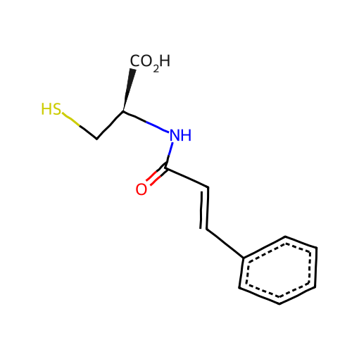 O=C(C=Cc1ccccc1)N[C@@H](CS)C(=O)O